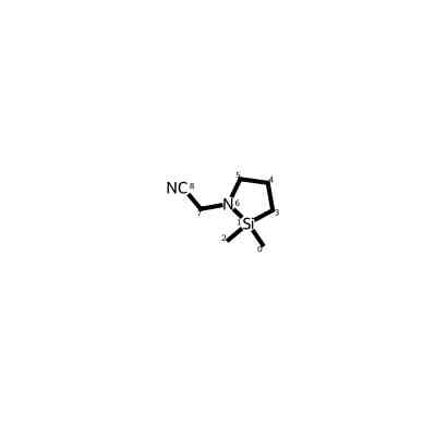 C[Si]1(C)CCCN1CC#N